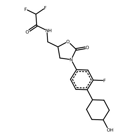 O=C(NCC1CN(c2ccc(C3CCC(O)CC3)c(F)c2)C(=O)O1)C(F)F